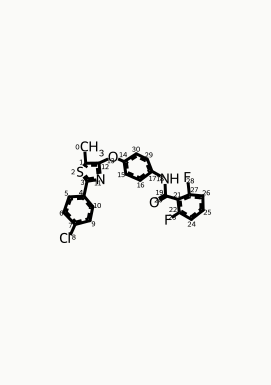 Cc1sc(-c2ccc(Cl)cc2)nc1Oc1ccc(NC(=O)c2c(F)cccc2F)cc1